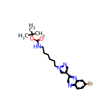 CC(C)(C)OC(=O)NCCCCCCn1cc(-c2cnc3ccc(Br)cc3n2)cn1